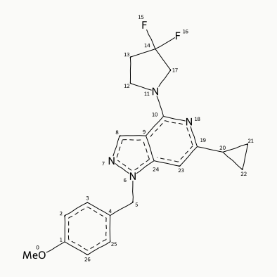 COc1ccc(Cn2ncc3c(N4CCC(F)(F)C4)nc(C4CC4)cc32)cc1